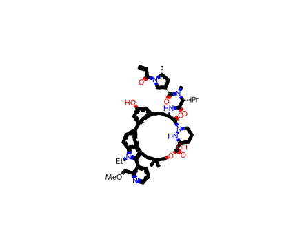 C=CC(=O)N1C[C@@H](C(=O)N(C)[C@@H](C(=O)N[C@H]2Cc3cc(O)cc(c3)-c3ccc4c(c3)c(c(-c3cccnc3COC)n4CC)CC(C)(C)COC(=O)[C@@]3(O)CCCN(N3)C2=O)C(C)C)C[C@H]1C